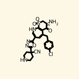 N#CC1(c2nnc(C3=CNC4=C(C(=O)[C@@H](N)CS4(=O)=O)C(Cc4ccc(Cl)cc4)=C3)o2)CCNCC1